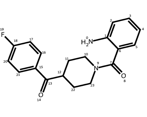 Nc1ccccc1C(=O)N1CCC(C(=O)c2ccc(F)cc2)CC1